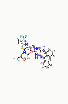 C[C@H]1CN(c2sc(C3(C(F)(F)F)CC3)nc2-c2nnc(N[C@H]3N=C(c4ccccc4)c4ccccc4NC3=O)o2)CCO1